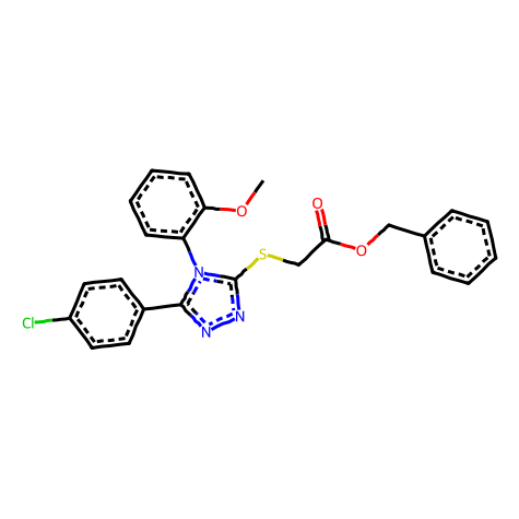 COc1ccccc1-n1c(SCC(=O)OCc2ccccc2)nnc1-c1ccc(Cl)cc1